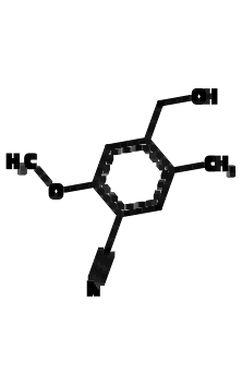 COc1cc(CO)c(C)cc1C#N